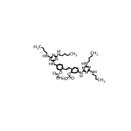 CCCCNc1nc(NCCCC)nc(Nc2ccc(/C=C/c3ccc(Nc4nc(NCCCC)nc(NCCCC)n4)cc3OS(=O)O)c(OS(=O)O)c2)n1